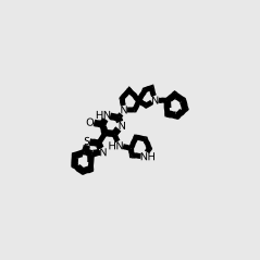 O=c1[nH]c(N2CCC3(CCN(c4ccccc4)C3)C2)nc(NC2CCCNC2)c1-c1nc2ccccc2s1